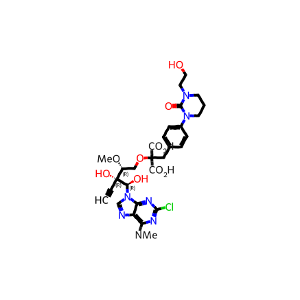 C#C[C@@](O)([C@@H](COC(Cc1ccc(N2CCCN(CCO)C2=O)cc1)(C(=O)O)C(=O)O)OC)[C@@H](O)n1cnc2c(NC)nc(Cl)nc21